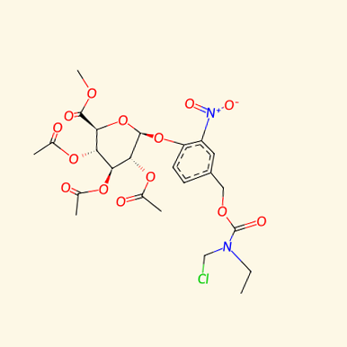 CCN(CCl)C(=O)OCc1ccc(O[C@@H]2O[C@H](C(=O)OC)[C@@H](OC(C)=O)[C@H](OC(C)=O)[C@H]2OC(C)=O)c([N+](=O)[O-])c1